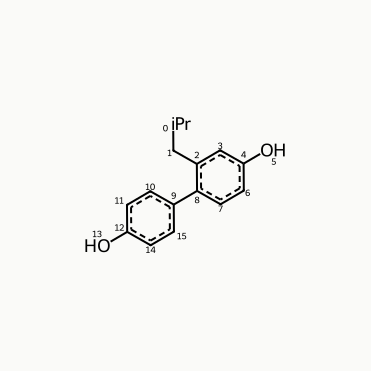 CC(C)Cc1cc(O)ccc1-c1ccc(O)cc1